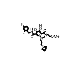 COCCN1CN(CCCn2cccc2)n2cc(C(=O)NCc3ccc(F)cc3F)c(=O)c(O)c2C1=O